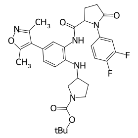 Cc1noc(C)c1-c1ccc(NC2CCN(C(=O)OC(C)(C)C)C2)c(NC(=O)C2CCC(=O)N2c2ccc(F)c(F)c2)c1